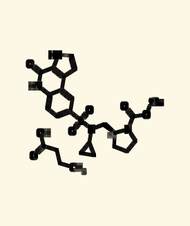 CC(C)(C)OC(=O)N1CCC[C@H]1CN(C1CC1)S(=O)(=O)c1ccc2[nH]c(=O)c3[nH]ccc3c2c1.CCCC(=O)O